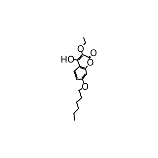 CCCCCCOc1ccc2c(O)c(OCC)c(=O)oc2c1